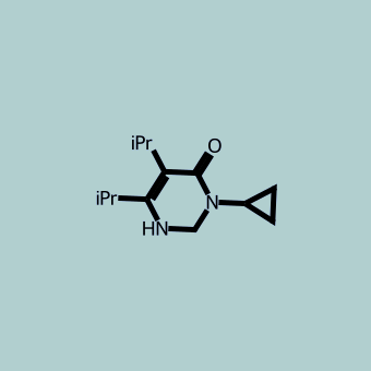 CC(C)C1=C(C(C)C)C(=O)N(C2CC2)CN1